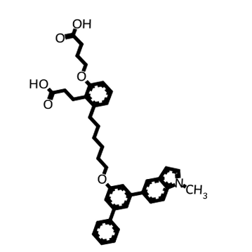 Cn1ccc2cc(-c3cc(OCCCCCCc4cccc(OCCCC(=O)O)c4CCC(=O)O)cc(-c4ccccc4)c3)ccc21